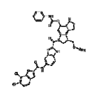 N#COCC1CN(C(=O)c2cc3cc(NC(=O)c4cc5ccc(Cl)c(Cl)c5o4)ccc3[nH]2)c2cc(OC(=O)Nc3ccccc3)c3[nH]ccc3c21